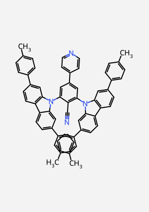 Cc1ccc(-c2ccc3c4ccc(-c5cccc(C)c5)cc4n(-c4cc(-c5ccncc5)cc(-n5c6cc(-c7ccc(C)cc7)ccc6c6ccc(-c7cccc(C)c7)cc65)c4C#N)c3c2)cc1